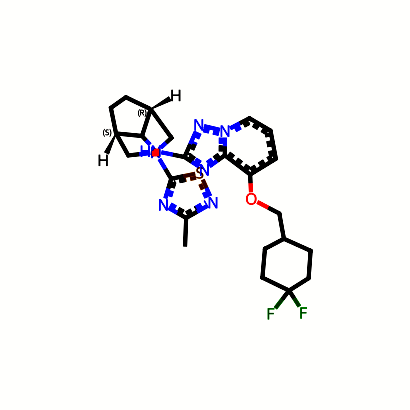 Cc1nsc(N2C[C@H]3CC[C@@H](C2)C3Nc2nc3c(OCC4CCC(F)(F)CC4)cccn3n2)n1